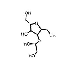 OCC1O[C@H](CO)C(O)C1O[C@H](O)CO